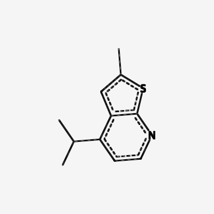 Cc1cc2c(C(C)C)ccnc2s1